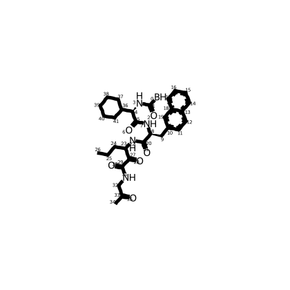 BC(=O)N[C@H](C(=O)N[C@@H](Cc1ccc2ccccc2c1)C(=O)NC(CCC)C(=O)C(=O)NCC(C)=O)C1CCCCC1